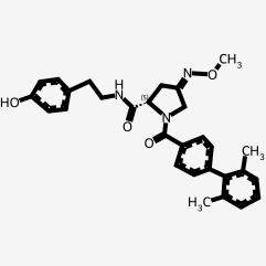 CON=C1C[C@@H](C(=O)NCCc2ccc(O)cc2)N(C(=O)c2ccc(-c3c(C)cccc3C)cc2)C1